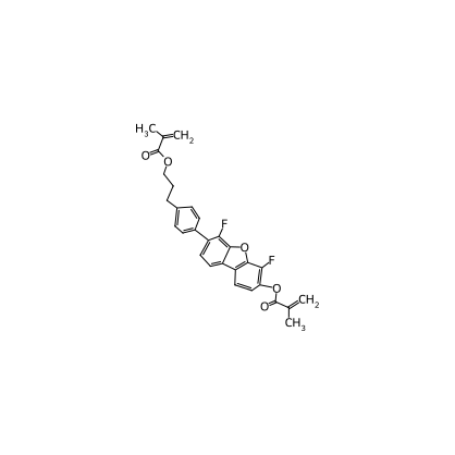 C=C(C)C(=O)OCCCc1ccc(-c2ccc3c(oc4c(F)c(OC(=O)C(=C)C)ccc43)c2F)cc1